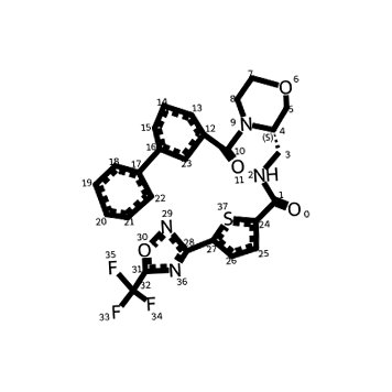 O=C(NC[C@H]1COCCN1C(=O)c1cccc(-c2ccccc2)c1)c1ccc(-c2noc(C(F)(F)F)n2)s1